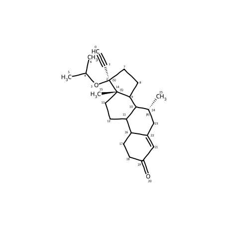 C#C[C@]1(OC(C)C)CCC2C3C(CC[C@@]21C)C1CCC(=O)C=C1C[C@H]3C